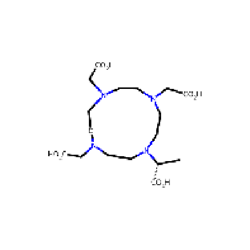 C[C@H](C(=O)O)N1CCN(CC(=O)O)CCN(CC(=O)O)CCN(CC(=O)O)CC1